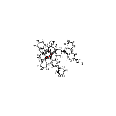 FC(F)(F)c1ccc2c(c1)c1ccccc1n2-c1ccc(-c2nc(-c3ccccc3)nc(-c3ccccc3)n2)c(-c2cc(-c3ccccn3)ccc2-n2c3ccccc3c3cc(C(F)(F)F)ccc32)c1